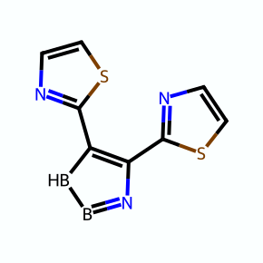 B1=NC(c2nccs2)=C(c2nccs2)B1